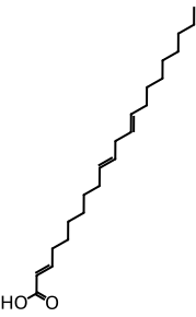 CCCCCCCCC=CCC=CCCCCCCC=CC(=O)O